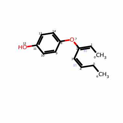 C/C=C(\C=C/CC)Oc1ccc(O)cc1